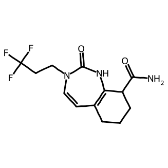 NC(=O)C1CCCC2=C1NC(=O)N(CCC(F)(F)F)C=C2